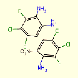 Nc1c([N+](=O)[O-])cc(Cl)c(Cl)c1F.Nc1cc(Cl)c(Cl)c(F)c1N